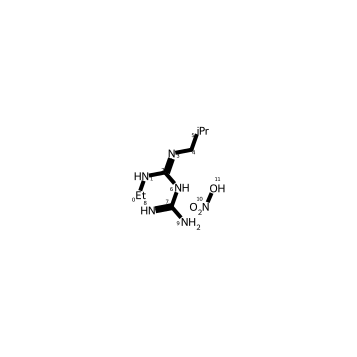 CCN/C(=N/CC(C)C)NC(=N)N.O=[N+]([O-])O